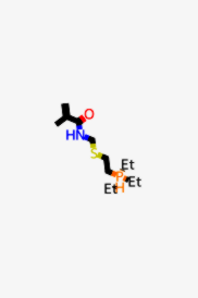 C=C(C)C(=O)NCSCC[PH](CC)(CC)CC